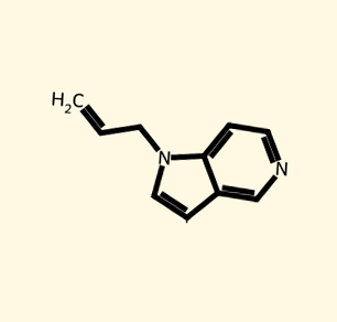 C=CCn1c[c]c2cnccc21